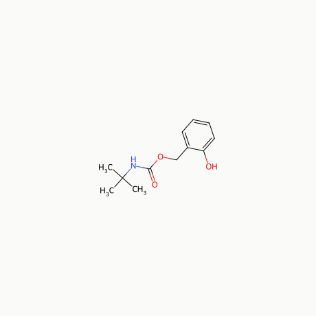 CC(C)(C)NC(=O)OCc1ccccc1O